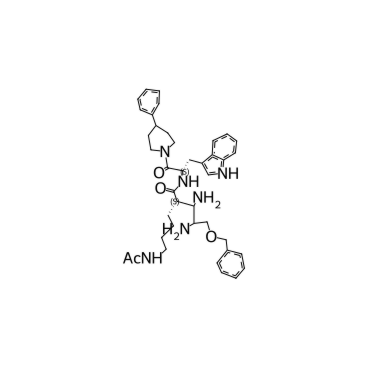 CC(=O)NCCCC[C@H](C(=O)N[C@@H](Cc1c[nH]c2ccccc12)C(=O)N1CCC(c2ccccc2)CC1)C(N)C(N)COCc1ccccc1